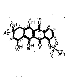 CC(=O)[C@]1(O)Cc2c(O)c3c(c(O)c2[C@@H](O)C1)C(=O)c1c(OS(=O)(=O)C(F)(F)F)cccc1C3=O